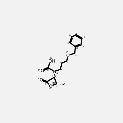 C[C@@H]1OC(=O)[C@@H]1N(CCCOCc1ccccc1)C(=O)O